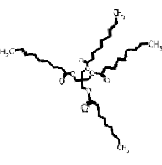 CCCCCCCCC(=O)OCC(COC(=O)CCCCCCCC)(COC(=O)CCCCCCCC)COC(=O)CCCCCCCC